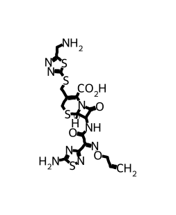 C=CCON=C(C(=O)NC1C(=O)N2C(C(=O)O)=C(CSc3nnc(CN)s3)CS[C@@H]12)c1nsc(N)n1